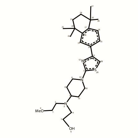 COCCN(CCO)C1CCN(c2nc(-c3ccc4c(c3)C(C)(C)CCC4(C)C)cs2)CC1